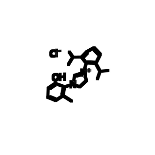 Cc1cccc(O)c1N1C=[N+](c2c(C(C)C)cccc2C(C)C)CC1.[Cl-]